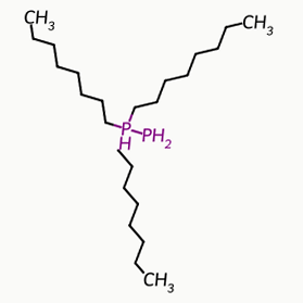 CCCCCCCC[PH](P)(CCCCCCCC)CCCCCCCC